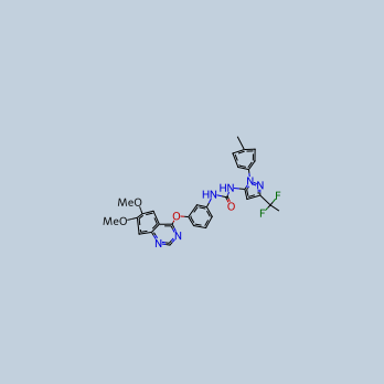 COc1cc2ncnc(Oc3cccc(NC(=O)Nc4cc(C(C)(F)F)nn4-c4ccc(C)cc4)c3)c2cc1OC